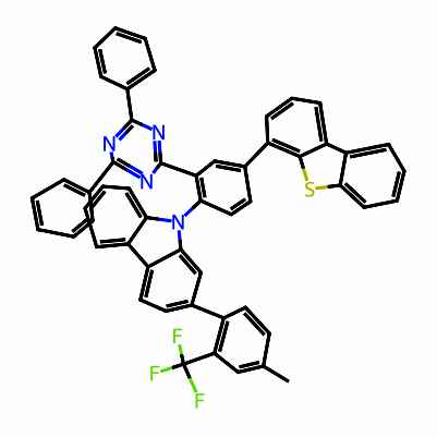 Cc1ccc(-c2ccc3c4ccccc4n(-c4ccc(-c5cccc6c5sc5ccccc56)cc4-c4nc(-c5ccccc5)nc(-c5ccccc5)n4)c3c2)c(C(F)(F)F)c1